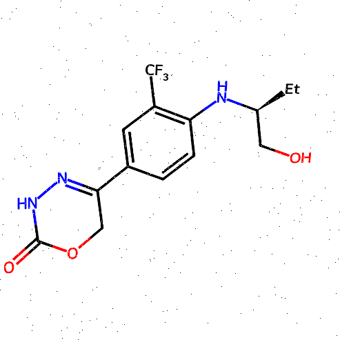 CC[C@@H](CO)Nc1ccc(C2=NNC(=O)OC2)cc1C(F)(F)F